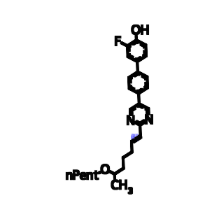 CCCCCOC(C)CCC/C=C/c1ncc(-c2ccc(-c3ccc(O)c(F)c3)cc2)cn1